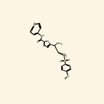 COc1ccc(S(=O)(=O)NCC(N)c2ccc(C(=O)Nc3ccncc3)s2)cc1